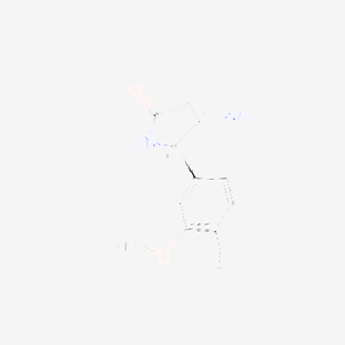 COc1cc([C@H]2NC(=O)C[C@@H]2N)ccc1F